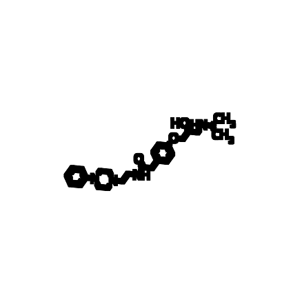 CC(C)NCC(O)COc1ccc(CC(=O)NCCN2CCN(c3ccccc3)CC2)cc1